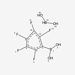 OB(O)c1c(F)c(F)c(F)c(F)c1F.OBO